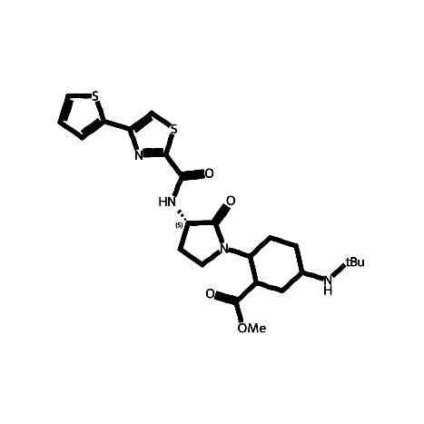 COC(=O)C1CC(NC(C)(C)C)CCC1N1CC[C@H](NC(=O)c2nc(-c3cccs3)cs2)C1=O